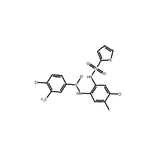 Cc1cc(N[S+]([O-])c2ccc(Cl)c(C(F)(F)F)c2)c(NS(=O)(=O)c2cccs2)cc1Cl